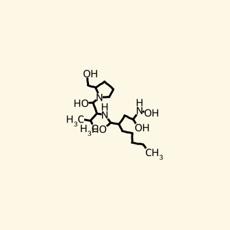 CCCCCC(CC(O)NO)C(O)NC(C(C)C)C(O)N1CCCC1CO